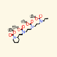 C=CCN(CCCN(CCCN(CCC1CCCCN1C(=O)OC(C)(C)C)C(=O)OC(C)(C)C)C(=O)OC(C)(C)C)C(=O)OC(C)(C)C